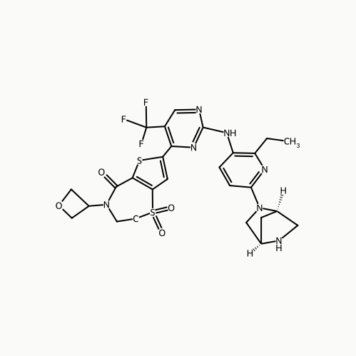 CCc1nc(N2C[C@H]3C[C@@H]2CN3)ccc1Nc1ncc(C(F)(F)F)c(-c2cc3c(s2)C(=O)N(C2COC2)CCS3(=O)=O)n1